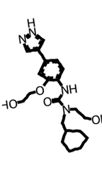 O=C(Nc1ccc(-c2cn[nH]c2)cc1OCCO)N(CCO)CC1CCCCC1